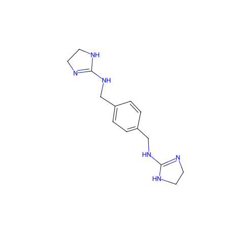 c1cc(CNC2=NCCN2)ccc1CNC1=NCCN1